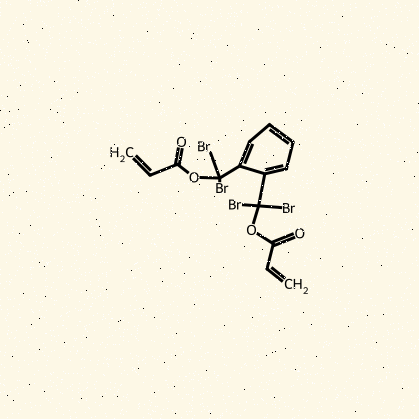 C=CC(=O)OC(Br)(Br)c1ccccc1C(Br)(Br)OC(=O)C=C